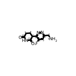 NCc1cc(F)c(C2CCC(=O)NC2=O)nn1